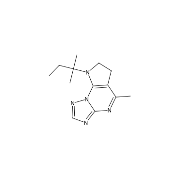 CCC(C)(C)N1CCc2c(C)nc3ncnn3c21